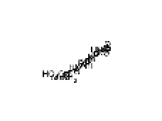 COO[C@H](CCCC(=O)NCC(=O)Nc1ccc(/N=N/c2ccc(NC(=O)CN3C(=O)C=CC3=O)cc2)cc1)C[C@H](N)C(=O)O